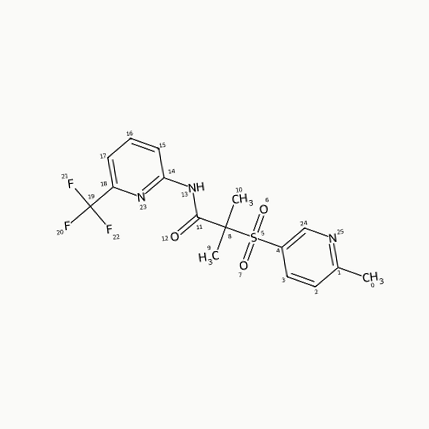 Cc1ccc(S(=O)(=O)C(C)(C)C(=O)Nc2cccc(C(F)(F)F)n2)cn1